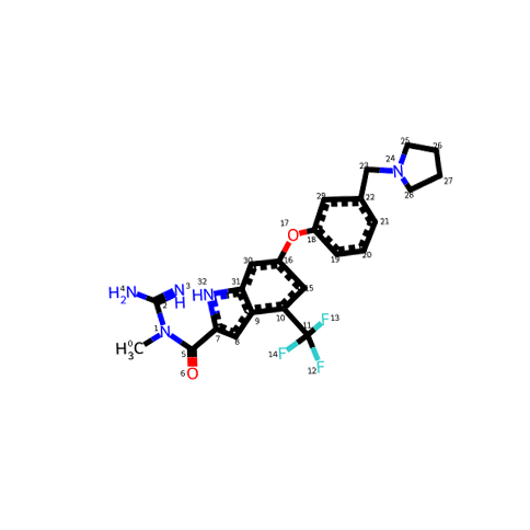 CN(C(=N)N)C(=O)c1cc2c(C(F)(F)F)cc(Oc3cccc(CN4CCCC4)c3)cc2[nH]1